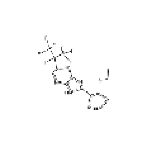 CCSc1ccccc1-c1nc2cc(C(F)(C(F)(F)F)C(F)(F)F)cnc2[nH]1